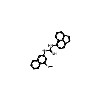 COc1cc(NC(=N)Nc2ccc3c4c(cccc24)C=C3)cc2ccccc12